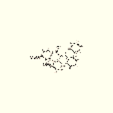 COc1ccc(C(=O)N(Cc2ccccc2-c2ccccc2)c2ccccc2)cc1OC